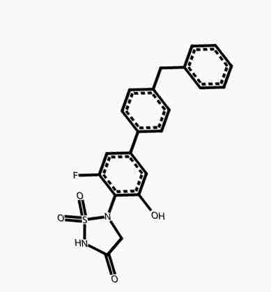 O=C1CN(c2c(O)cc(-c3ccc(Cc4ccccc4)cc3)cc2F)S(=O)(=O)N1